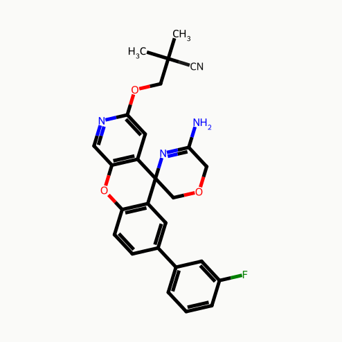 CC(C)(C#N)COc1cc2c(cn1)Oc1ccc(-c3cccc(F)c3)cc1C21COCC(N)=N1